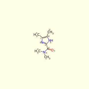 Cc1nc(C(=O)N(C)C)[nH]c1C